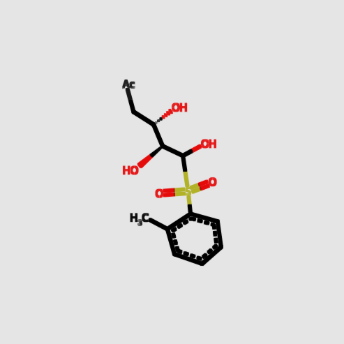 CC(=O)C[C@H](O)[C@H](O)C(O)S(=O)(=O)c1ccccc1C